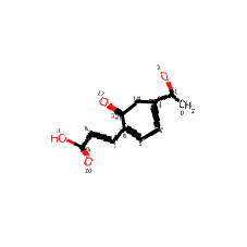 CC(=O)C1=CC=C(C=CC(=O)O)C(=O)C1